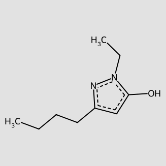 CCCCc1cc(O)n(CC)n1